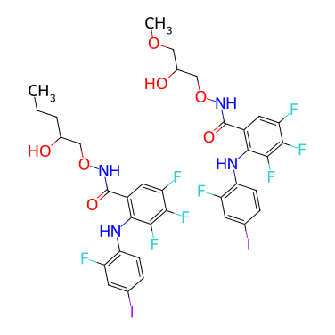 CCCC(O)CONC(=O)c1cc(F)c(F)c(F)c1Nc1ccc(I)cc1F.COCC(O)CONC(=O)c1cc(F)c(F)c(F)c1Nc1ccc(I)cc1F